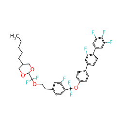 CCCCCC1COC(C(F)(F)OCCc2ccc(C(F)(F)Oc3ccc(-c4ccc(-c5cc(F)c(F)c(F)c5)c(F)c4)cc3)c(F)c2)OC1